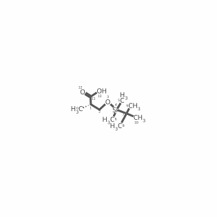 C[C@@H](CO[Si](C)(C)C(C)(C)C)C(=O)O